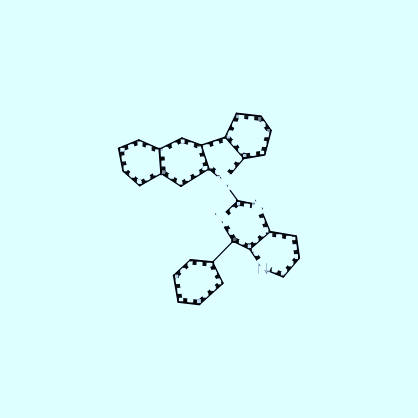 c1ccc(-c2nc(-n3c4ccccc4c4cc5ccccc5cc43)nc3cccnc23)cc1